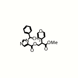 COC(=O)C(COC(=O)c1cncn1C(C)c1ccccc1)C1C=COC=C1